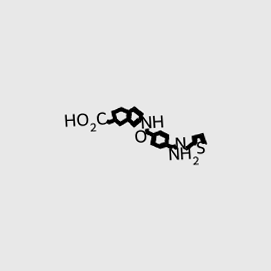 NC(=NCc1cccs1)c1ccc(C(=O)Nc2ccc3c(c2)CC(CC(=O)O)CC3)cc1